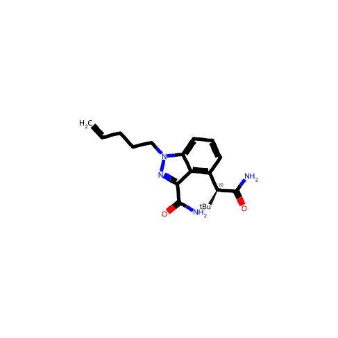 C=CCCCn1nc(C(N)=O)c2c([C@@H](C(N)=O)C(C)(C)C)cccc21